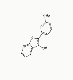 COc1cccc(-c2sc3ncccc3c2O)c1